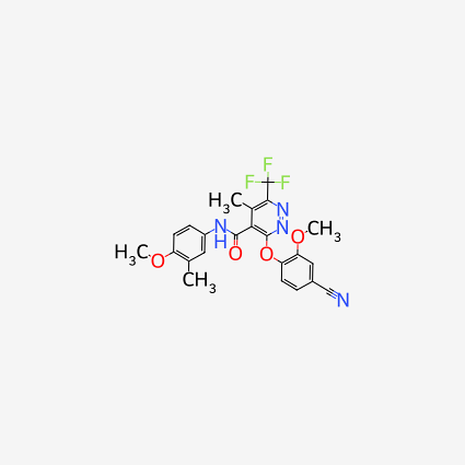 COc1ccc(NC(=O)c2c(Oc3ccc(C#N)cc3OC)nnc(C(F)(F)F)c2C)cc1C